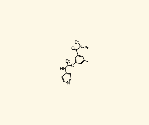 CCC(Nc1ccncc1)Oc1cc(C)cc(C(=O)N(CC)C(C)C)c1